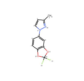 Cc1ccn(-c2ccc3c(c2)OC(F)(F)O3)n1